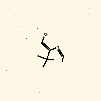 CC(C)(C)C(=C/S)/N=C\I